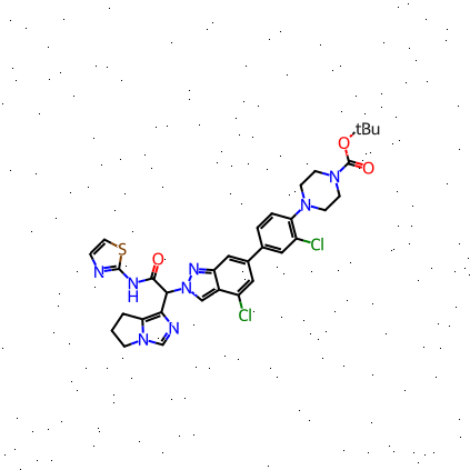 CC(C)(C)OC(=O)N1CCN(c2ccc(-c3cc(Cl)c4cn(C(C(=O)Nc5nccs5)c5ncn6c5CCC6)nc4c3)cc2Cl)CC1